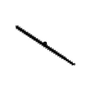 CCCCCCCCCCCCCCCCCCCCCCCCCCCCCCC(=O)CCCCCCCCCCCCCCCCCCCCCCCCCCCC